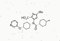 CC(C)(C)c1cc(N(C(=O)[C@H]2CC[C@H](C)CC2)[C@H]2CC[C@@H](Oc3cccnc3)CC2)c(C(=O)O)s1